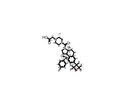 C[C@@H]1CN(C(=O)N2CC[C@]3(S(=O)(=O)c4ccc(F)cc4)c4ccc(C(F)(C(F)(F)F)C(F)(F)F)cc4CC[C@H]23)CCN1CC(=O)O